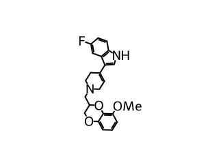 COc1cccc2c1OC(CN1CC=C(c3c[nH]c4ccc(F)cc34)CC1)CO2